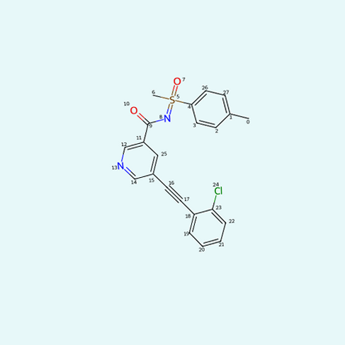 Cc1ccc(S(C)(=O)=NC(=O)c2cncc(C#Cc3ccccc3Cl)c2)cc1